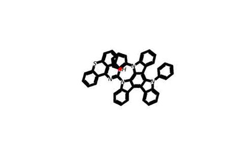 C1=CC2NC(n3c4ccccc4c4c5c6ccccc6n(-c6ccccc6)c5c5c6ccccc6n(-c6ccccc6)c5c43)=NC3=C2C(=C1)Sc1ccccc13